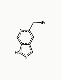 CC(C)Cc1cc2cn[nH]c2cn1